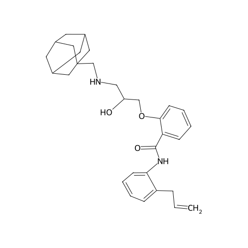 C=CCc1ccccc1NC(=O)c1ccccc1OCC(O)CNCC12CC3CC(CC(C3)C1)C2